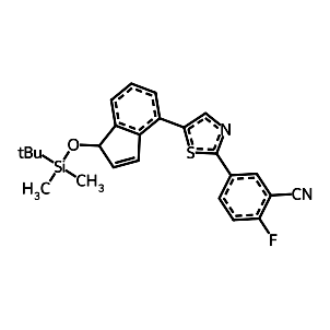 CC(C)(C)[Si](C)(C)OC1C=Cc2c(-c3cnc(-c4ccc(F)c(C#N)c4)s3)cccc21